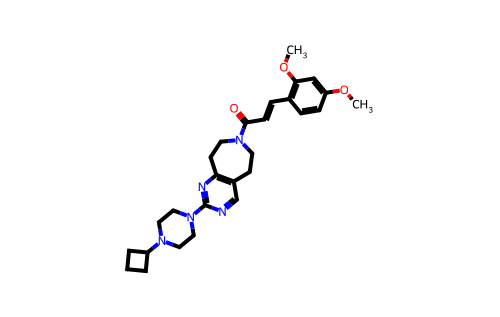 COc1ccc(/C=C/C(=O)N2CCc3cnc(N4CCN(C5CCC5)CC4)nc3CC2)c(OC)c1